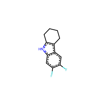 Fc1cc2[nH]c3c(c2cc1F)CCCC3